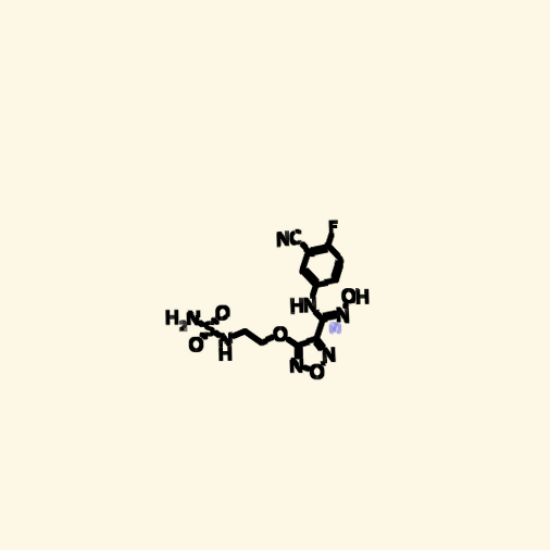 N#Cc1cc(N/C(=N\O)c2nonc2OCCNS(N)(=O)=O)ccc1F